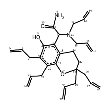 C=CCc1c(O)c(C(C(N)=O)N(CC=C)CC=C)c2c(c1CC=C)OC(CC=C)(CC=C)CC2